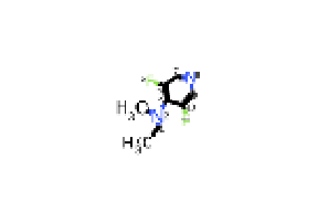 CCN(C)c1c(F)cncc1F